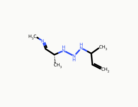 C=CC(C)NNN[C@H](C)/C=N/C